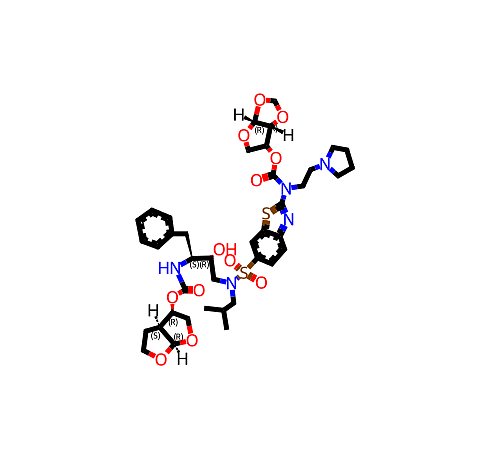 CC(C)CN(C[C@@H](O)[C@H](Cc1ccccc1)NC(=O)O[C@H]1CO[C@H]2OCC[C@H]21)S(=O)(=O)c1ccc2nc(N(CCN3CCCC3)C(=O)OC3CO[C@@H]4OCO[C@H]34)sc2c1